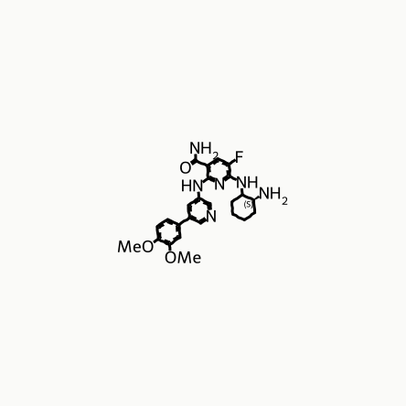 COc1ccc(-c2cncc(Nc3nc(NC4CCCC[C@@H]4N)c(F)cc3C(N)=O)c2)cc1OC